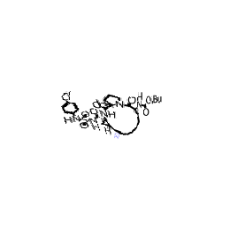 CC(C)COC(=O)N[C@H]1CCCCC/C=C\[C@@H]2C[C@@]2(C(=O)NS(=O)(=O)Nc2ccc(Cl)cc2)NC(=O)[C@@H]2CCCN2C1=O